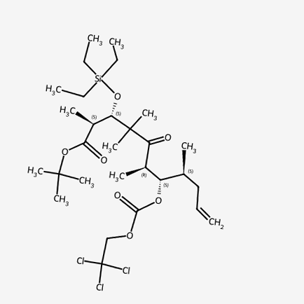 C=CC[C@H](C)[C@H](OC(=O)OCC(Cl)(Cl)Cl)[C@@H](C)C(=O)C(C)(C)[C@@H](O[Si](CC)(CC)CC)[C@H](C)C(=O)OC(C)(C)C